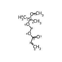 C=CC(=O)OCO[Si](C)(C)OC